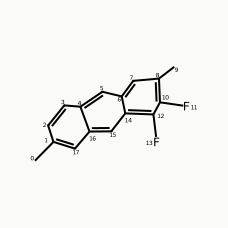 Cc1ccc2cc3cc(C)c(F)c(F)c3cc2c1